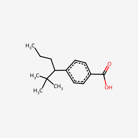 CCCC(c1ccc(C(=O)O)cc1)C(C)(C)C